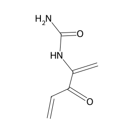 C=CC(=O)C(=C)NC(N)=O